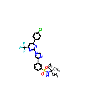 CC(C)(C)NS(=O)(=O)c1cccc(-c2cn(-c3nc(-c4ccc(Cl)cc4)cc(C(F)(F)F)n3)cn2)c1